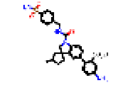 CCOC(=O)c1cc(N)ccc1-c1ccc2c(c1)C1(CCC(C)C1)CN2C(=O)NCc1ccc(S(N)(=O)=O)cc1